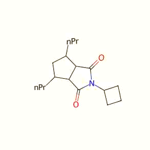 CCCC1CC(CCC)C2C(=O)N(C3CCC3)C(=O)C12